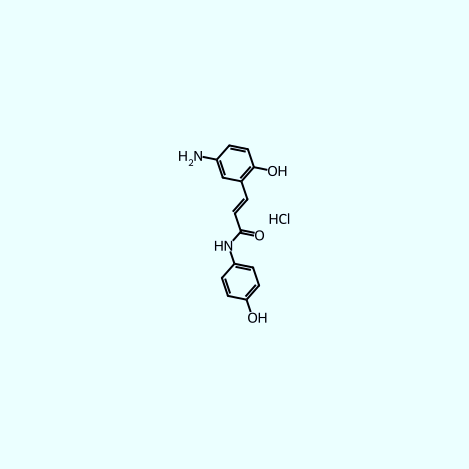 Cl.Nc1ccc(O)c(C=CC(=O)Nc2ccc(O)cc2)c1